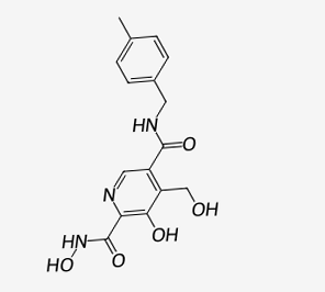 Cc1ccc(CNC(=O)c2cnc(C(=O)NO)c(O)c2CO)cc1